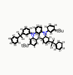 CC(C)(C)C1=CC2C(C=C1)B1C3=CC=C(C(C)(C)C4=CC=CCC4)CC3N(C3C=C(C(C)(C)C)C=CC3)c3cccc(c31)N2c1cccc(C(C)(C)c2ccccc2)c1